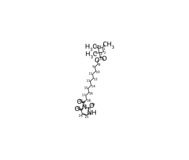 CC1CC(C)(C(=O)OCCCCCCCCCCCC(=O)n2c(=O)cc[nH]c2=O)C1C